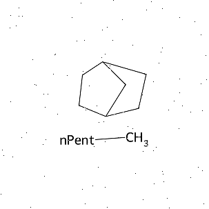 C1CC2CCC1C2.CCCCCC